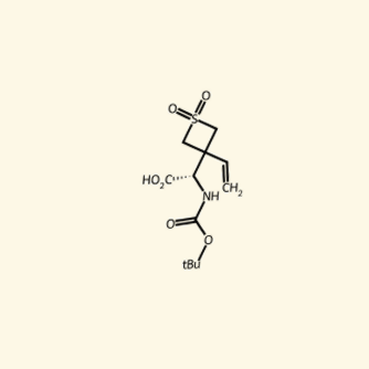 C=CC1([C@H](NC(=O)OC(C)(C)C)C(=O)O)CS(=O)(=O)C1